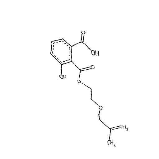 C=C(C)COCCOC(=O)c1c(O)cccc1C(=O)O